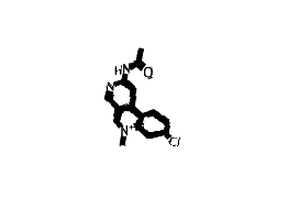 CC(=O)Nc1cc2c(cn1)c[n+](C)c1cc(Cl)ccc21